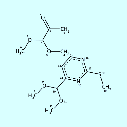 COC(OC)C(C)=O.COC(OC)c1ccnc(SC)n1